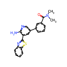 CN(C)C(=O)c1cccc(-c2cnc(N)c(-c3nc4ccccc4s3)c2)c1